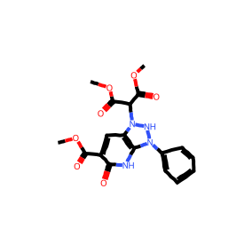 COC(=O)c1cc2c([nH]c1=O)N(c1ccccc1)NN2C(C(=O)OC)C(=O)OC